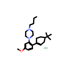 CCCCN1CCN(c2cc(OC)ccc2C2=CCC(C(C)(C)C)CC2)CC1.Cl